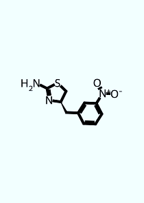 NC1=N[C@H](Cc2cccc([N+](=O)[O-])c2)CS1